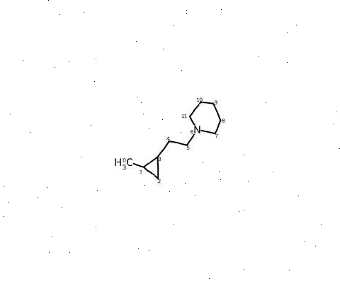 CC1CC1CCN1CCCCC1